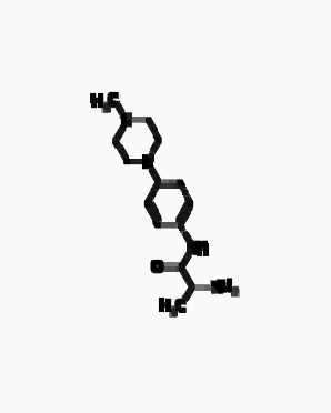 CC(N)C(=O)Nc1ccc(N2CCN(C)CC2)cc1